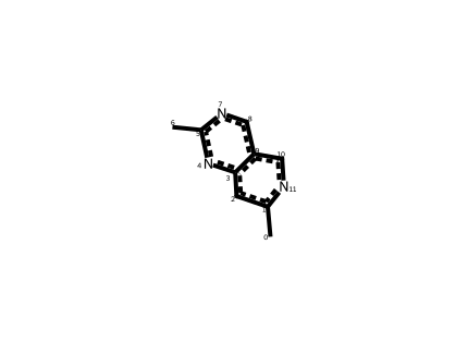 Cc1cc2nc(C)ncc2cn1